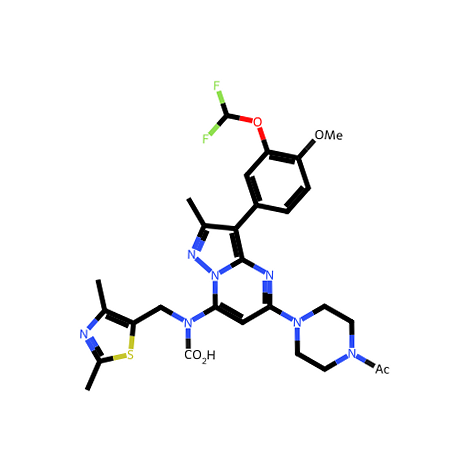 COc1ccc(-c2c(C)nn3c(N(Cc4sc(C)nc4C)C(=O)O)cc(N4CCN(C(C)=O)CC4)nc23)cc1OC(F)F